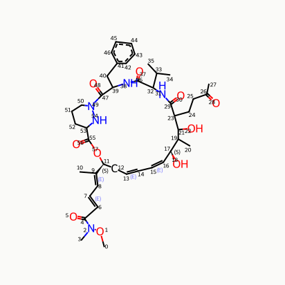 CON(C)C(=O)/C=C/C=C(\C)[C@@H]1C/C=C/C=C/[C@H](O)C(C)C(O)C(CCC(C)=O)C(=O)NC(C(C)C)C(=O)NC(Cc2ccccc2)C(=O)N2CCCC(N2)C(=O)O1